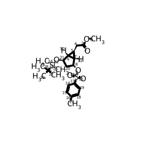 COC(=O)C[C@@H]1[C@@H]2[C@H]1[C@@H](OS(=O)(=O)c1ccc(C)cc1)C[C@H]2O[Si](C)(C)C(C)(C)C